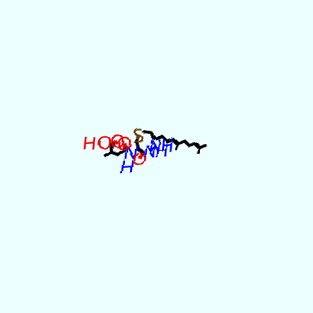 CC(C)=CCC/C(C)=C/CC/C1=C/CSC[C@H](NC(=O)CC(C)C(=O)O)C(=O)NN1